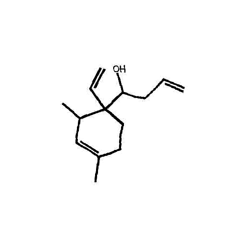 C=CCC(O)C1(C=C)CCC(C)=CC1C